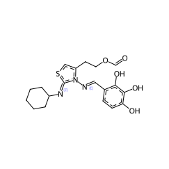 O=COCCc1cs/c(=N\C2CCCCC2)n1/N=C/c1ccc(O)c(O)c1O